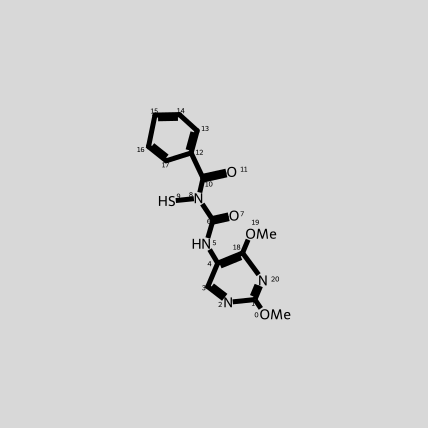 COc1ncc(NC(=O)N(S)C(=O)c2ccccc2)c(OC)n1